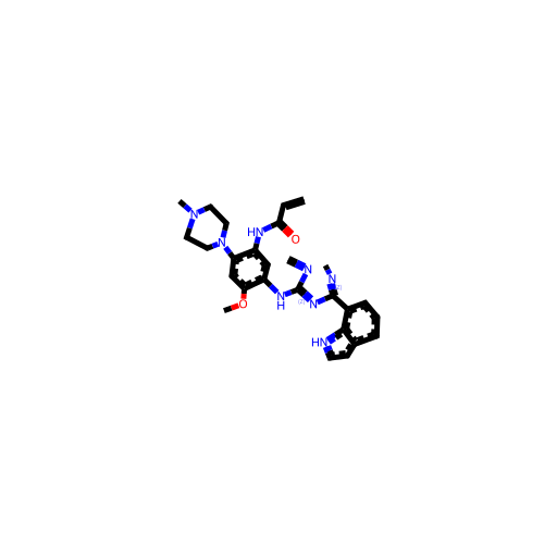 C=CC(=O)Nc1cc(N/C(N=C)=N/C(=N\C)c2cccc3cc[nH]c23)c(OC)cc1N1CCN(C)CC1